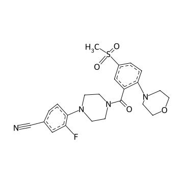 CS(=O)(=O)c1ccc(N2CCOCC2)c(C(=O)N2CCN(c3ccc(C#N)cc3F)CC2)c1